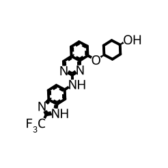 O[C@H]1CC[C@@H](Oc2cccc3cnc(Nc4ccc5nc(C(F)(F)F)[nH]c5c4)nc23)CC1